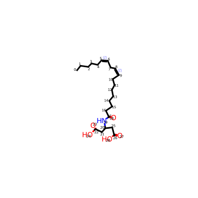 CCCCC/C=C\C/C=C\CCCCCCCC(=O)NC(CC(=O)O)CC(=O)O